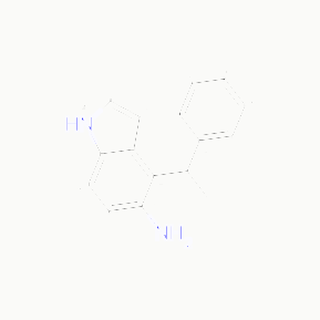 CC(c1ccccc1)c1c(N)ccc2[nH]ccc12